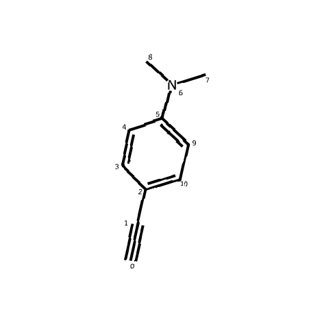 [C]#Cc1ccc(N(C)C)cc1